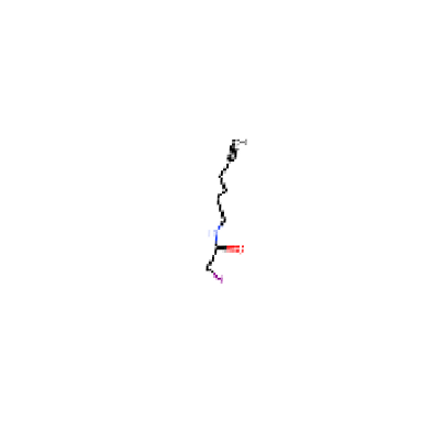 C#CCCCCNC(=O)CI